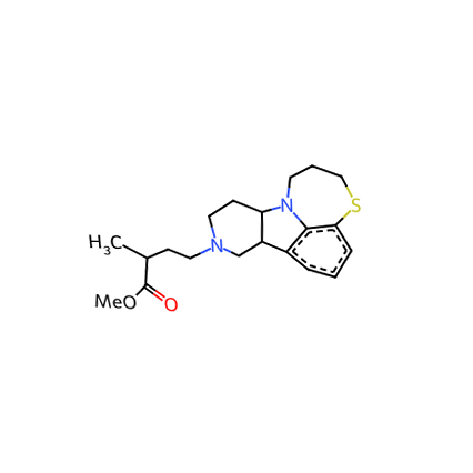 COC(=O)C(C)CCN1CCC2C(C1)c1cccc3c1N2CCCS3